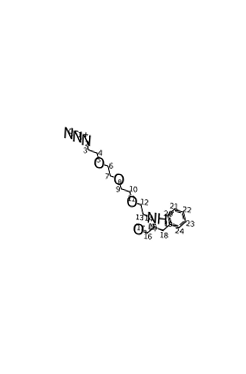 [N-]=[N+]=NCCOCCOCCOCCN[C@H](C=O)Cc1ccccc1